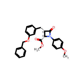 COC(=O)[C@@H]1[C@H](Cc2cccc(OCc3ccccc3)c2)C(=O)N1c1ccc(OC)cc1